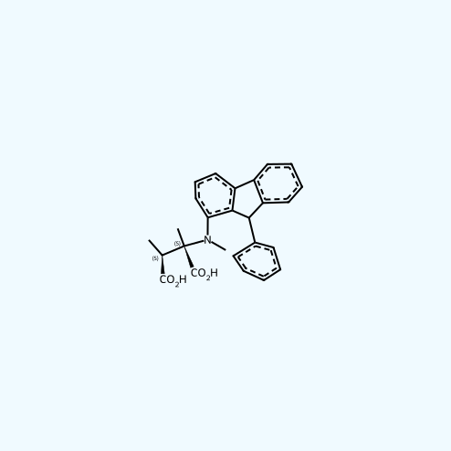 C[C@H](C(=O)O)[C@@](C)(C(=O)O)N(C)c1cccc2c1C(c1ccccc1)c1ccccc1-2